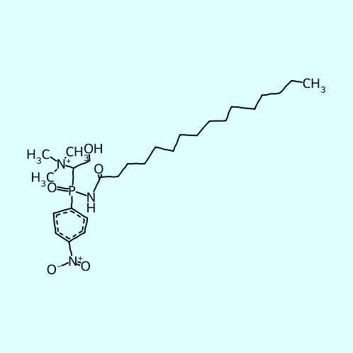 CCCCCCCCCCCCCCCC(=O)NP(=O)(c1ccc([N+](=O)[O-])cc1)C(CO)[N+](C)(C)C